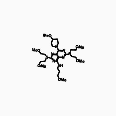 COCCCNc1nc(N(CCOC)CCOC)nc2c(N3CCC(OC)CC3)nc(N(CCOC)CCOC)nc12